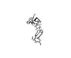 O=C(Oc1c(I)cc(I)cc1I)C1CCC(C(=O)ON2C(=O)CCC2=O)CC1